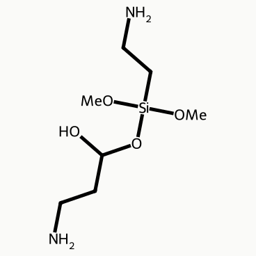 CO[Si](CCN)(OC)OC(O)CCN